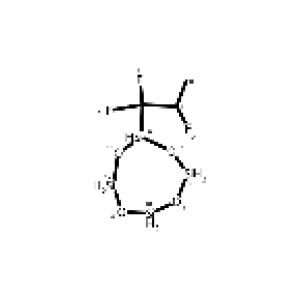 CC(F)C(F)(F)[SiH]1O[SiH2]O[SiH2]O[SiH2]O1